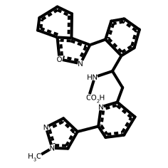 Cn1cc(-c2cccc(CC(NC(=O)O)c3ccccc3-c3noc4ccccc34)n2)cn1